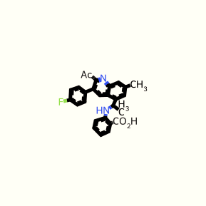 CC(=O)c1nc2cc(C)cc(C(C)Nc3ccccc3C(=O)O)c2cc1-c1ccc(F)cc1